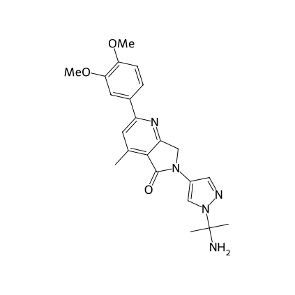 COc1ccc(-c2cc(C)c3c(n2)CN(c2cnn(C(C)(C)N)c2)C3=O)cc1OC